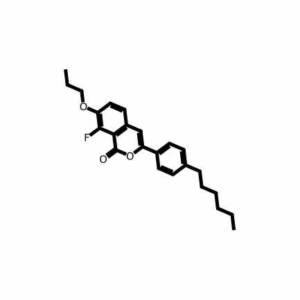 CCCCCCc1ccc(-c2cc3ccc(OCCC)c(F)c3c(=O)o2)cc1